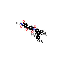 Cc1ccc(C2(C)CC(C)(C)c3ccc(N4C(=O)c5ccc(C(=O)c6ccc7c(c6)C(=O)N(C)C7=O)cc5C4=O)cc32)cc1